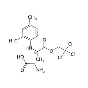 Cc1ccc(N[C@@H](C)C(=O)OCC(Cl)(Cl)Cl)c(C)c1.NCC(=O)O